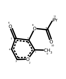 Cc1occc(=O)c1OC(=O)C(C)C